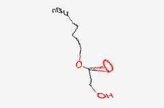 CCCCCCCOC(=O)CO